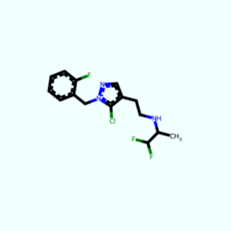 CC(NCCc1cnn(Cc2ccccc2F)c1Cl)C(F)F